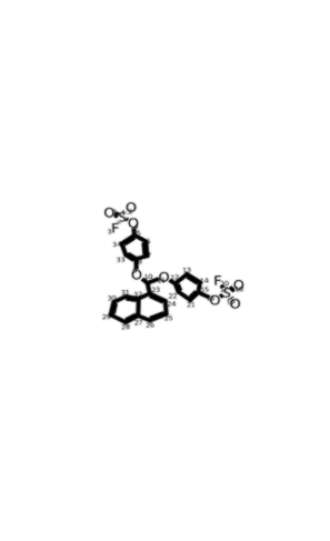 O=S(=O)(F)Oc1ccc(OC(Oc2ccc(OS(=O)(=O)F)cc2)c2cccc3ccccc23)cc1